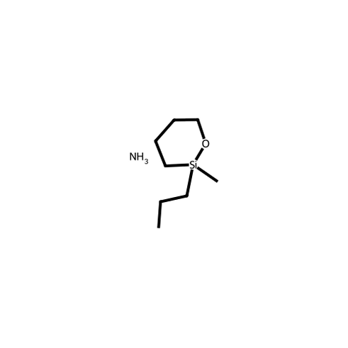 CCC[Si]1(C)CCCCO1.N